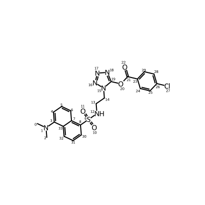 CN(C)c1cccc2c(S(=O)(=O)NCCn3nnnc3OC(=O)c3ccc(Cl)cc3)cccc12